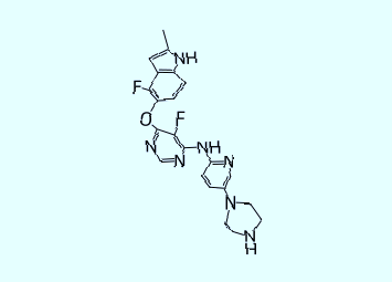 Cc1cc2c(F)c(Oc3ncnc(Nc4ccc(N5CCNCC5)cn4)c3F)ccc2[nH]1